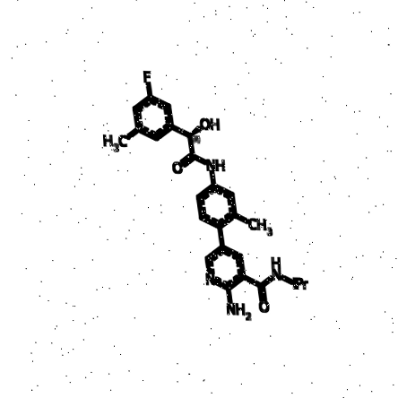 Cc1cc(F)cc([C@@H](O)C(=O)Nc2ccc(-c3cnc(N)c(C(=O)NC(C)C)c3)c(C)c2)c1